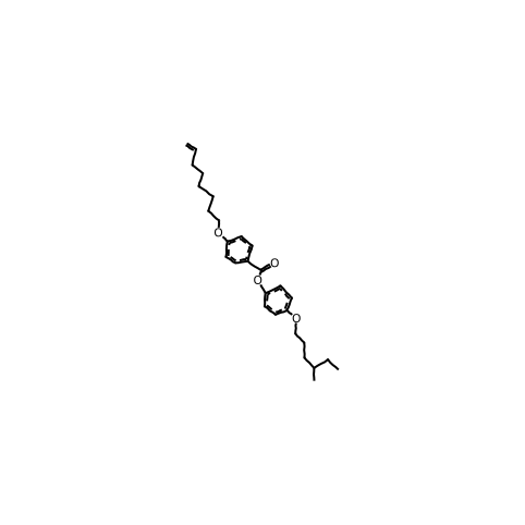 C=CCCCCCCOc1ccc(C(=O)Oc2ccc(OCCCC(C)CC)cc2)cc1